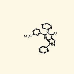 Cc1cccc(-c2nc3c(cnn3-c3ccccc3)c(=O)n2-c2ccccc2)c1